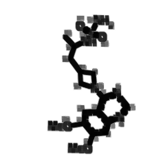 COc1cc2ncnc(N3CC(CC(C)NS(N)(=O)=O)C3)c2cc1OC